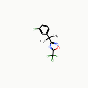 CC(C)(c1cccc(Cl)c1)c1noc(C(Cl)(Cl)Cl)n1